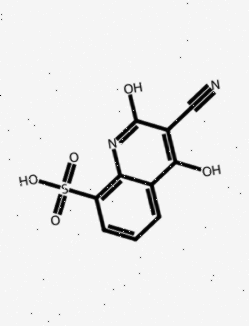 N#Cc1c(O)nc2c(S(=O)(=O)O)cccc2c1O